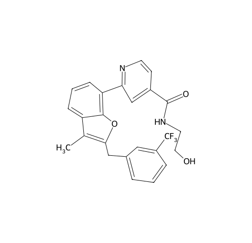 Cc1c(Cc2cccc(C(F)(F)F)c2)oc2c(-c3cc(C(=O)NCCO)ccn3)cccc12